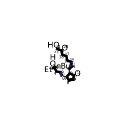 CCCCC(O)(CC)C/C=C/[C@H]1C=CC(=O)[C@@H]1C/C=C\CCCC(=O)CO